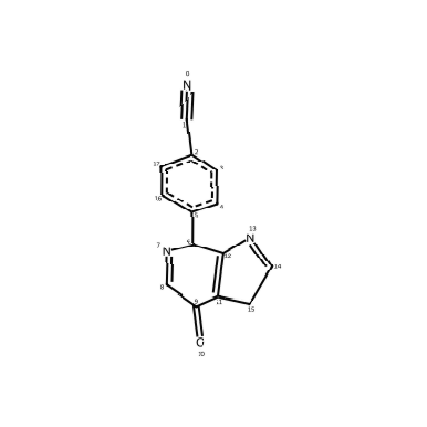 N#Cc1ccc(C2N=CC(=O)C3=C2N=CC3)cc1